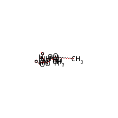 CCCCCCCCCCCCCCNC(=O)[C@@H]1CN(C(=O)c2ccc(C(=O)N3C[C@@H](C(=O)N[C@H]4C[C@@H]4c4ccccc4)[C@H](C(=O)N[C@H]4C[C@@H]4c4ccccc4)C3)cc2)C[C@H]1NC